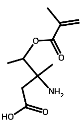 C=C(C)C(=O)OC(C)C(C)(N)CC(=O)O